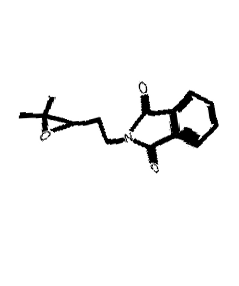 CC1(C)OC1CCN1C(=O)c2ccccc2C1=O